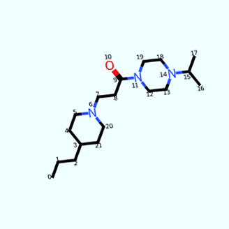 CCCC1CCN(CCC(=O)N2CCN(C(C)C)CC2)CC1